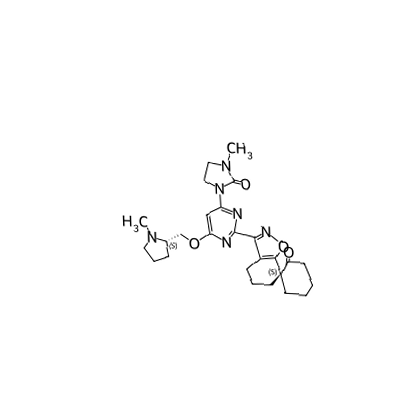 CN1CCN(c2cc(OC[C@@H]3CCCN3C)nc(-c3noc4c3CCC[C@@]43CCCCC3=O)n2)C1=O